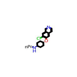 CCCN[C@H]1CC[C@H](Oc2cc3ccncc3cc2Cl)CC1